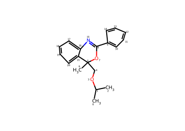 CC(C)OCC1(C)OC(c2ccccc2)=Nc2ccccc21